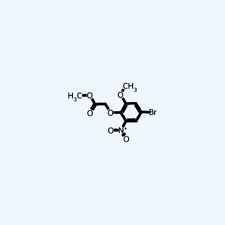 COC(=O)COc1c(OC)cc(Br)cc1[N+](=O)[O-]